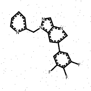 Fc1cc(-c2cnc3cnn(Cc4ccccn4)c3c2)cc(F)c1F